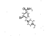 CCN1CCN(Cc2ccc(C(N)=O)cc2Br)CC1